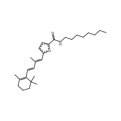 CCCCCCCCNC(=O)c1ccc(/C=C(\C)C=CC2=C(C)CCCC2(C)C)o1